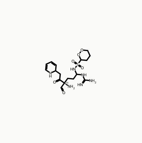 N=C(N)NC(CC[C@](N)(C=O)C(=O)CC1C=CC=CN1)NS(=O)(=O)C1CCCOO1